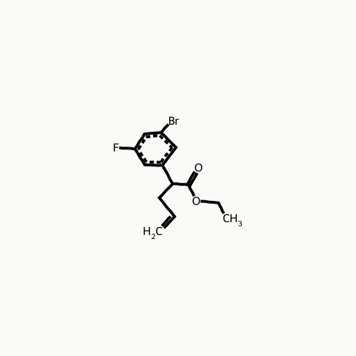 C=CCC(C(=O)OCC)c1cc(F)cc(Br)c1